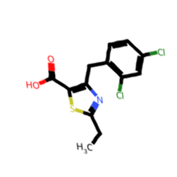 CCc1nc(Cc2ccc(Cl)cc2Cl)c(C(=O)O)s1